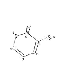 [S]C1=CC=CSN1